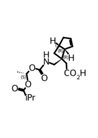 CC(C)C(=O)O[C@H](C)OC(=O)NC[C@@]1(CC(=O)O)C[C@@H]2CC=C[C@@H]21